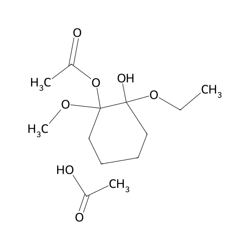 CC(=O)O.CCOC1(O)CCCCC1(OC)OC(C)=O